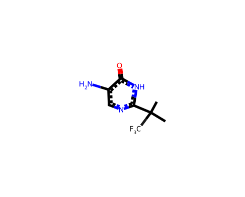 CC(C)(c1ncc(N)c(=O)[nH]1)C(F)(F)F